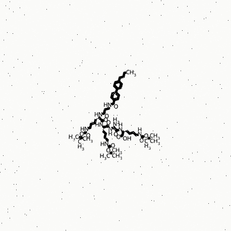 CCCCc1ccc(-c2ccc(C(=O)NCCC(=O)N[C@@H](CCCCNC(=O)OC(C)(C)C)C(=O)N[C@@H](CCCCNC(=O)OC(C)(C)C)C(=O)N[C@@H](N)C(=O)N[C@@H](CCCCNC(=O)OC(C)(C)C)C(=O)O)cc2)cc1